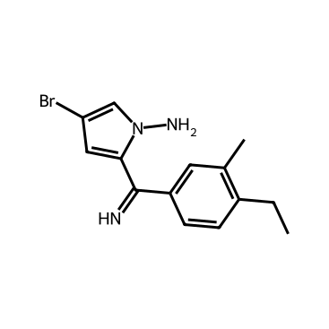 CCc1ccc(C(=N)c2cc(Br)cn2N)cc1C